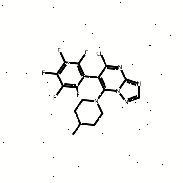 CC1CCN(c2c(-c3c(F)c(F)c(F)c(F)c3F)c(Cl)nc3ncnn23)CC1